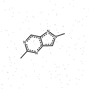 Cc1ncc2nn(C)cc2n1